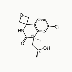 C[C@H](O)C[C@@]1(C)C(=O)NC2(COC2)c2ccc(Cl)cc21